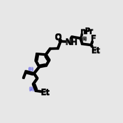 C/C=C(\C/C=C\CC)c1ccc(CCC(=O)NC[C@@H](CCC)CC(F)CC)cc1